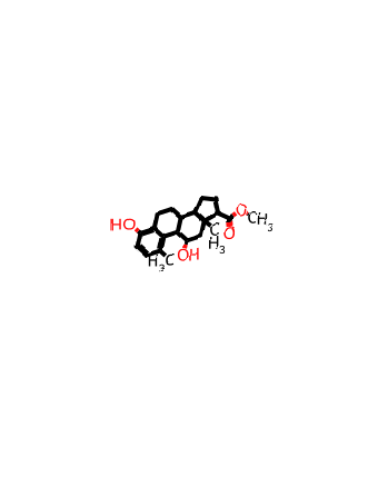 COC(=O)C1CCC2C3CCc4c(O)ccc(C)c4C3C(O)CC12C